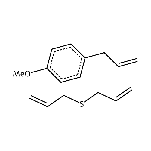 C=CCSCC=C.C=CCc1ccc(OC)cc1